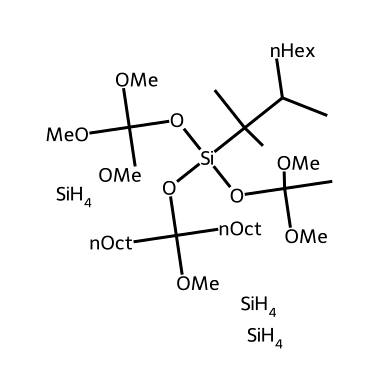 CCCCCCCCC(CCCCCCCC)(OC)O[Si](OC(C)(OC)OC)(OC(OC)(OC)OC)C(C)(C)C(C)CCCCCC.[SiH4].[SiH4].[SiH4]